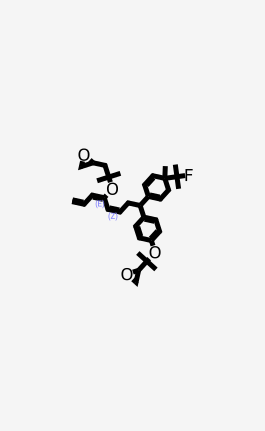 C=C/C=C(\C=C/CC(C1=CCC(C)(C(C)(C)F)C=C1)c1ccc(OC(C)(C)C2CO2)cc1)OC(C)(C)CC1CO1